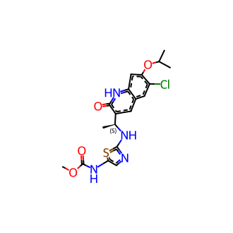 COC(=O)Nc1cnc(N[C@@H](C)c2cc3cc(Cl)c(OC(C)C)cc3[nH]c2=O)s1